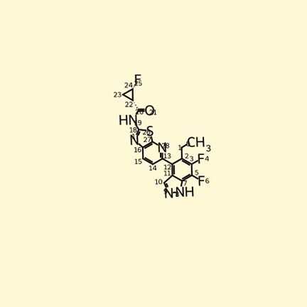 CCc1c(F)c(F)c2[nH]ncc2c1-c1ccc2nc(NC(=O)[C@@H]3C[C@@H]3F)sc2n1